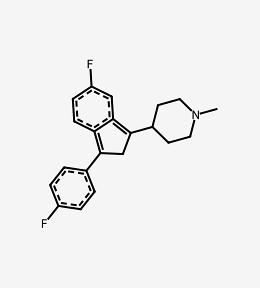 CN1CCC(C2=c3cc(F)ccc3=C(c3ccc(F)cc3)C2)CC1